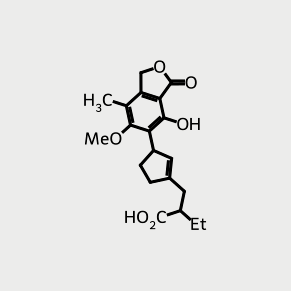 CCC(CC1=CC(c2c(O)c3c(c(C)c2OC)COC3=O)CC1)C(=O)O